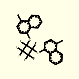 Cc1ccc(OC2(F)C(F)(F)C(F)(F)C2(F)Oc2ccc(C)c3ccccc23)c2ccccc12